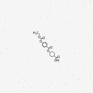 CCOC(=O)Oc1ccc(C(=O)OC2CCC(C(=O)O)CC2)cc1